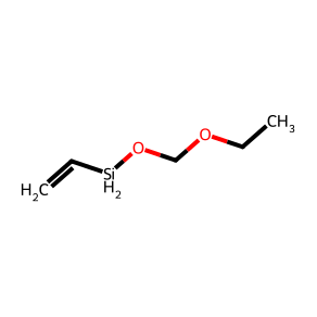 C=C[SiH2]OCOCC